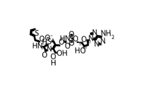 Nc1ncnc2c1ncn2[C@H]1C[C@H](O)[C@@H](COS(=O)(=O)NC(=O)OCC2=C(C(O)O)N3C(=O)[C@@H](NC(=O)Cc4cccs4)[C@H]3[S+]([O-])C2)O1